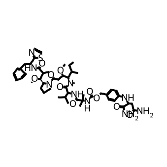 CCC(C)C(C(CC(=O)N1CCC[C@H]1C(OC)C(C)C(=O)NC(Cc1ccccc1)c1nccs1)OC)N(C)C(=O)C(NC(=O)C(C)(C)NC(=O)OCc1ccc(NC(CC(N)=O)C(N)=O)cc1)C(C)C